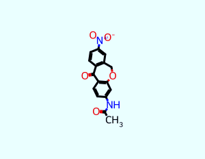 CC(=O)Nc1ccc2c(c1)OCc1cc([N+](=O)[O-])ccc1C2=O